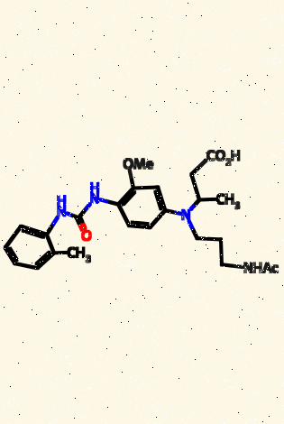 COc1cc(N(CCCNC(C)=O)C(C)CC(=O)O)ccc1NC(=O)Nc1ccccc1C